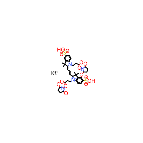 CC1(C)C(=CC=CC2=[N+](CCC(=O)ON3C(=O)CCC3=O)c3ccc(S(=O)(=O)O)cc3C2(C)C)N(CCC(=O)ON2C(=O)CCC2=O)c2ccc(S(=O)(=O)O)cc21.[K+].[K+]